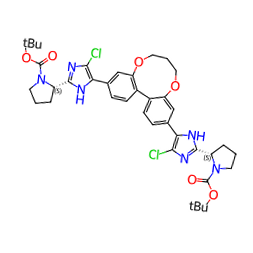 CC(C)(C)OC(=O)N1CCC[C@H]1c1nc(Cl)c(-c2ccc3c(c2)OCCCOc2cc(-c4[nH]c([C@@H]5CCCN5C(=O)OC(C)(C)C)nc4Cl)ccc2-3)[nH]1